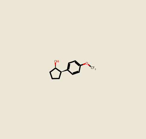 O[C@@H]1CCC[C@@H]1c1ccc(OC(F)(F)F)cc1